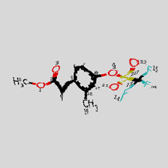 COC(=O)Cc1ccc(OS(=O)(=O)C(F)(F)F)cc1C